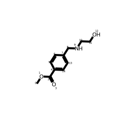 COC(=O)c1ccc(CNCCO)cc1